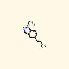 Cn1ncc2cc(/C=C/C#N)ccc21